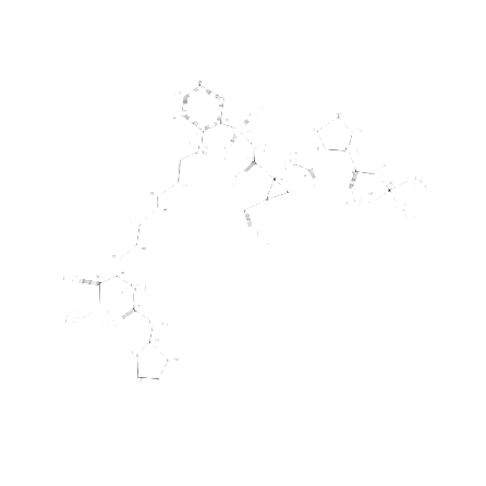 C=CC1CC1(NC(=O)[C@@H]1CCCN1C(=O)OC(C)(C)C)C(=O)NS(=O)(=O)c1ccccc1NCCCCCCC[C@H](NC(=O)OC1CCCC1)C(=O)OC